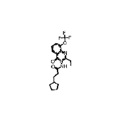 CCc1nc2c(OC(F)(F)F)cccc2c(=O)n1NC(=O)CCC1CCCC1